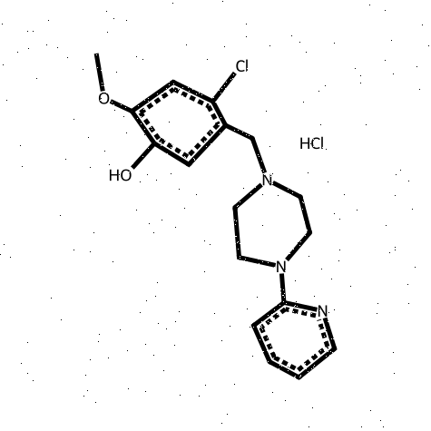 COc1cc(Cl)c(CN2CCN(c3ccccn3)CC2)cc1O.Cl